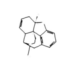 CN1CC[C@]23c4c5cccc4O[C@H]2CC=CC3C1C5